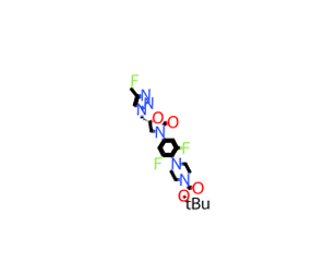 CC(C)(C)OC(=O)N1CCN(c2c(F)cc(N3C[C@H](Cn4cc(CF)nn4)OC3=O)cc2F)CC1